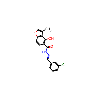 Cc1coc2ccc(C(=O)N/N=C/c3cccc(Cl)c3)c(O)c12